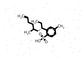 C=CCCC(C)C[C@H](CC)c1cc(C)ccc1S(=O)(=O)O